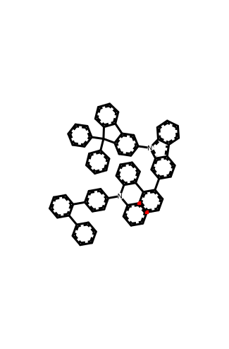 c1ccc(-c2ccccc2-c2ccc(N(c3ccccc3)c3ccccc3-c3ccccc3-c3ccc4c5ccccc5n(-c5ccc6c(c5)-c5ccccc5C6(c5ccccc5)c5ccccc5)c4c3)cc2)cc1